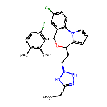 CCOC(=O)CC1=NNN(CC[C@H]2O[C@H](c3c(F)ccc(OC)c3OC)c3cc(Cl)ccc3-n3cccc32)N1